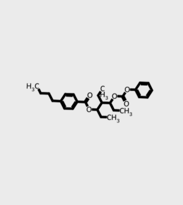 CCCCc1ccc(C(=O)OC(CC)C(CC)C(CC)OC(=O)Oc2ccccc2)cc1